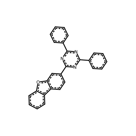 c1ccc(-c2nc(-c3ccccc3)nc(-c3ccc4c(c3)oc3ccccc34)n2)cc1